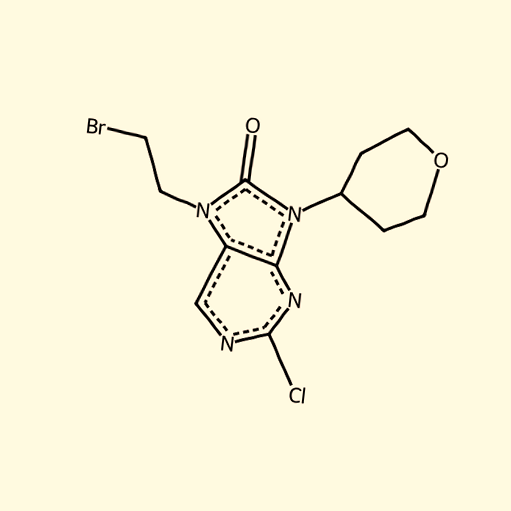 O=c1n(CCBr)c2cnc(Cl)nc2n1C1CCOCC1